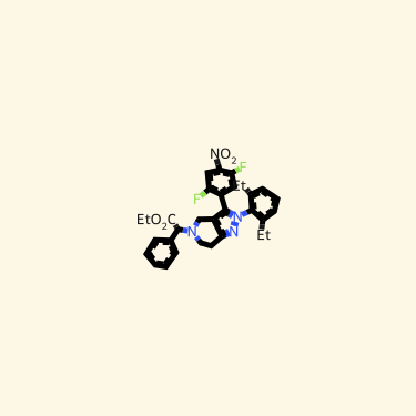 CCOC(=O)C(c1ccccc1)N1CCc2nn(-c3c(CC)cccc3CC)c(-c3cc(F)c([N+](=O)[O-])cc3F)c2C1